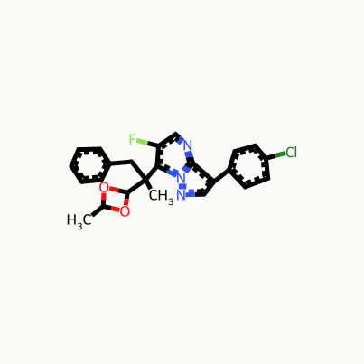 CC1OC(C(C)(Cc2ccccc2)c2c(F)cnc3c(-c4ccc(Cl)cc4)cnn23)O1